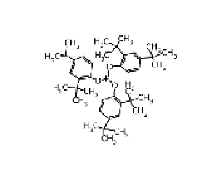 C=C(C)c1ccc(OP(Oc2ccc(C(C)(C)C)cc2C(C)(C)C)Oc2ccc(C(C)(C)C)cc2C(C)(C)C)c(C(C)(C)C)c1